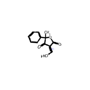 CC1(C2=CC=CCC2)OC(=O)/C(=C/O)C1=O